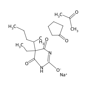 CC(C)=O.CCCC(C)C1(CC)C(=O)N=C([O-])NC1=O.O=C1CCCC1.[Na+]